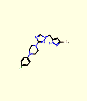 Fc1ccc(N2CCN(c3ncn(Cc4cc(C(F)(F)F)n[nH]4)n3)CC2)cc1